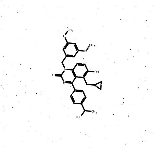 COc1cc(Cn2c(=O)nc(-c3ccc(C(C)C)cc3)c3c(CC4CC4)c(O)ccc32)cc(OC)c1